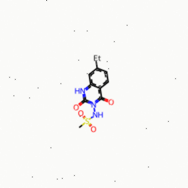 CCc1ccc2c(=O)n(NS(C)(=O)=O)c(=O)[nH]c2c1